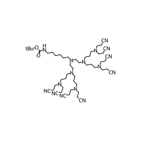 CC(C)(C)OC(=O)NCCCCCCN(CCN(CCCN(CCC#N)CCC#N)CCCN(CCC#N)CCC#N)CCN(CCCN(CCC#N)CCC#N)CCCN(CCC#N)CCC#N